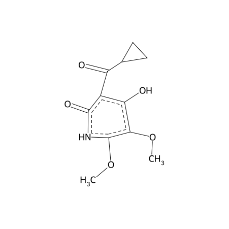 COc1[nH]c(=O)c(C(=O)C2CC2)c(O)c1OC